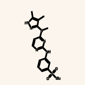 Cc1[nH]nc(N(C)c2ccnc(Nc3cccc(S(=O)(=O)C(C)(C)C)c3)n2)c1C